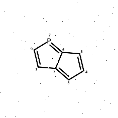 [C]1=CC2=CC=CC2=P1